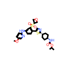 COc1ccc(Nc2ccc(-c3cnc([C@H]4CC[C@H](NC(=O)OC(C)C)CC4)s3)c(S(=O)(=O)C3COC3)c2)nc1